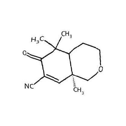 CC1(C)C(=O)C(C#N)=C[C@]2(C)COCCC12